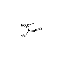 CC(=O)O.CCCCN=C=O